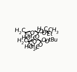 C=C(C)COCC(OOC(C)(C)C)OC(=O)O.C=C(C)COCC(OOC(C)(C)CC)OC(=O)O